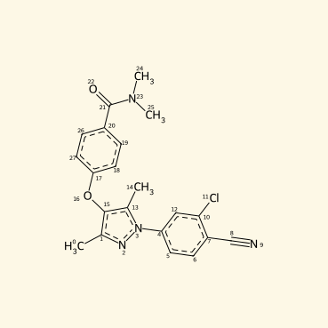 Cc1nn(-c2ccc(C#N)c(Cl)c2)c(C)c1Oc1ccc(C(=O)N(C)C)cc1